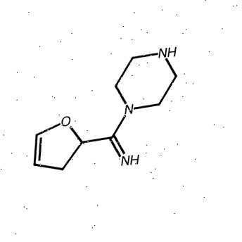 N=C(C1CC=CO1)N1CCNCC1